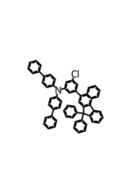 Clc1cc(-c2cc3c(c4ccccc24)-c2ccccc2C3(c2ccccc2)c2ccccc2)cc(N(c2ccc(-c3ccccc3)cc2)c2ccc(-c3ccccc3)cc2)c1